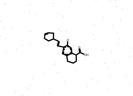 O=C(O)C1CCCc2cc(/C=C/C3CC=CCC3)c(Cl)cc21